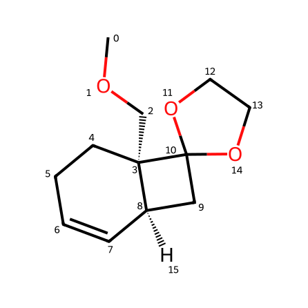 COC[C@@]12CCC=C[C@@H]1CC21OCCO1